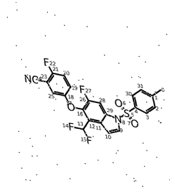 Cc1ccc(S(=O)(=O)n2ccc3c(C(F)F)c(Oc4ccc(F)c(C#N)c4)c(F)cc32)cc1